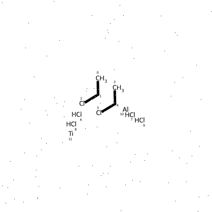 CCCl.CCCl.Cl.Cl.Cl.Cl.[Al].[Ti]